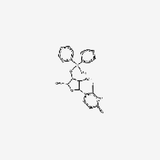 CC(=O)OC1C(O[Si](c2ccccc2)(c2ccccc2)C(C)(C)C)C(C=O)OC1n1ccc(=O)[nH]c1=O